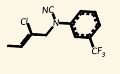 CC=C(Cl)CN(C#N)c1cccc(C(F)(F)F)c1